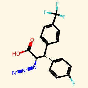 [N-]=[N+]=N[C@@H](C(=O)O)[C@@H](c1ccc(F)cc1)c1ccc(C(F)(F)F)cc1